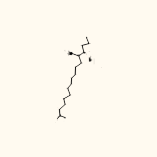 CCCC(OP)C(C#N)CCCCCCCCCCC(C)C